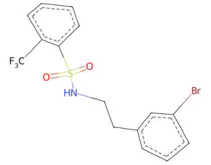 O=S(=O)(NCCc1cccc(Br)c1)c1ccccc1C(F)(F)F